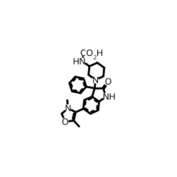 CC1=C(c2ccc3c(c2)C(c2ccccc2)(N2CCCC(NC(=O)O)C2)C(=O)N3)N(C)CO1